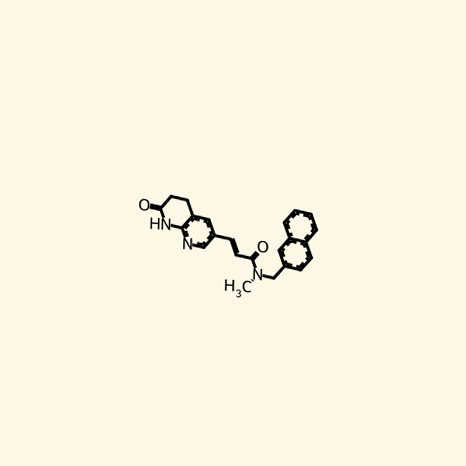 CN(Cc1ccc2ccccc2c1)C(=O)/C=C/c1cnc2c(c1)CCC(=O)N2